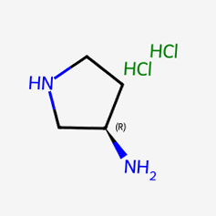 Cl.Cl.N[C@@H]1CCNC1